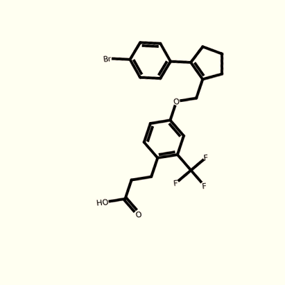 O=C(O)CCc1ccc(OCC2=C(c3ccc(Br)cc3)CCC2)cc1C(F)(F)F